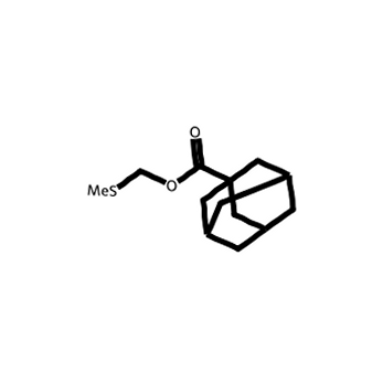 CSCOC(=O)C12CC3CC(CC(C3)C1)C2